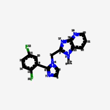 CCn1c(Cn2ccnc2-c2cc(F)ccc2F)nc2ncccc21